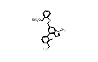 CCOC(=O)Cc1ccccc1OCc1cc(-c2cccc(CN)c2F)c2c(c1)[N+](C)=CC2